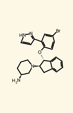 N[C@H]1CCCN([C@@H]2Cc3ccccc3[C@H]2Oc2ccc(Br)cc2-c2cc[nH]n2)C1